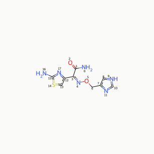 NC(=O)C(=NOCc1c[nH]cn1)c1csc(N)n1